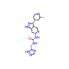 Cc1cc(-c2n[nH]c3cc(NC(=O)NCc4ncn[nH]4)ncc23)ccn1